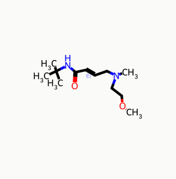 COCCN(C)C/C=C/C(=O)NC(C)(C)C